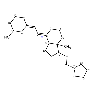 CC12CCC/C(=C\C=C3\CCCC(O)C3)C1CCC2CCN1CCCC1